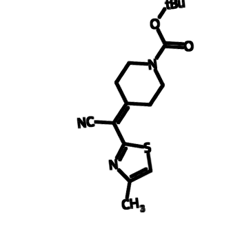 Cc1csc(C(C#N)=C2CCN(C(=O)OC(C)(C)C)CC2)n1